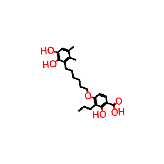 CCCc1c(OCCCCCCc2c(C)c(C)cc(O)c2O)ccc(C(=O)O)c1O